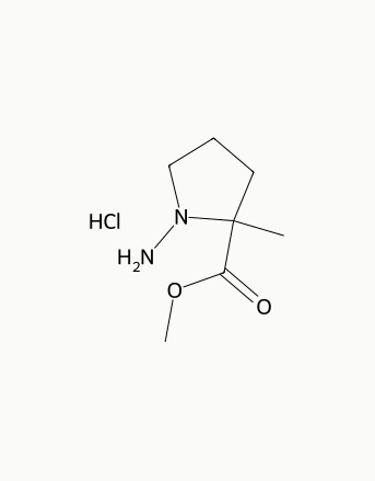 COC(=O)C1(C)CCCN1N.Cl